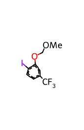 COCOc1cc(C(F)(F)F)ccc1I